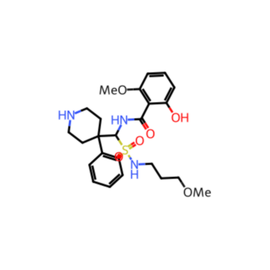 COCCCNS(=O)(=O)C(NC(=O)c1c(O)cccc1OC)C1(c2ccccc2)CCNCC1